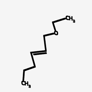 CCCC=CCOCC